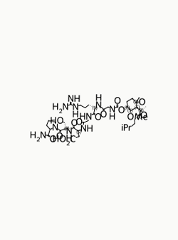 CO[C@@H]1[C@H](OC(=O)NCC(=O)N[C@@H](CCCNC(=N)N)C(=O)NCC(=O)N[C@@H](CC(=O)O)C(=O)N[C@@H](CO)C(=O)N2CCCC2C(N)=O)CC[C@]2(CO2)[C@H]1[C@@]1(C)O[C@@H]1CCC(C)C